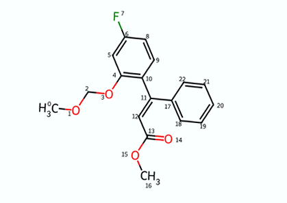 COCOc1cc(F)ccc1/C(=C/C(=O)OC)c1ccccc1